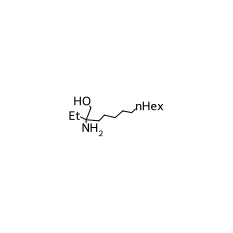 CCCCCCCCCCCC(N)(CC)CO